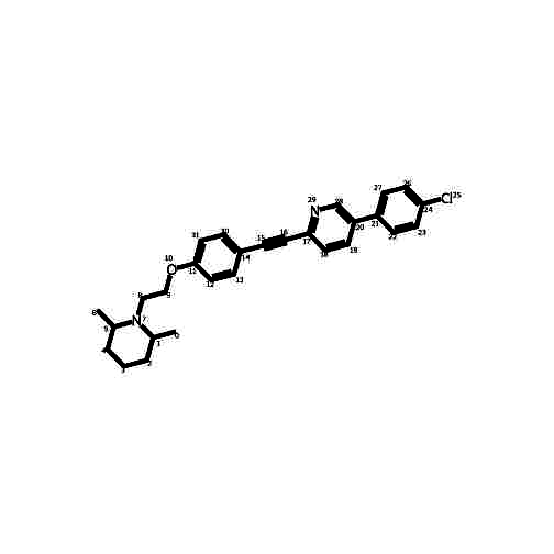 CC1CCCC(C)N1CCOc1ccc(C#Cc2ccc(-c3ccc(Cl)cc3)cn2)cc1